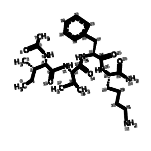 CC[C@H](C)[C@H](NC(C)=O)C(=O)N[C@H](C(=O)N[C@@H](Cc1ccccc1)C(=O)N[C@@H](CCCCN)C(N)=O)C(C)C